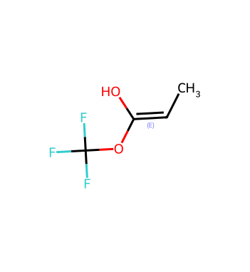 C/C=C(\O)OC(F)(F)F